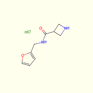 Cl.O=C(NCc1ccco1)C1CNC1